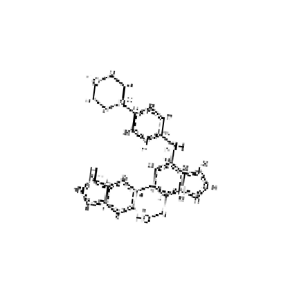 OCc1c(-c2ccc3cn[nH]c3c2)cc(Nc2ccc(N3CCOCC3)cn2)c2nccn12